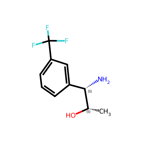 C[C@H](O)[C@@H](N)c1cccc(C(F)(F)F)c1